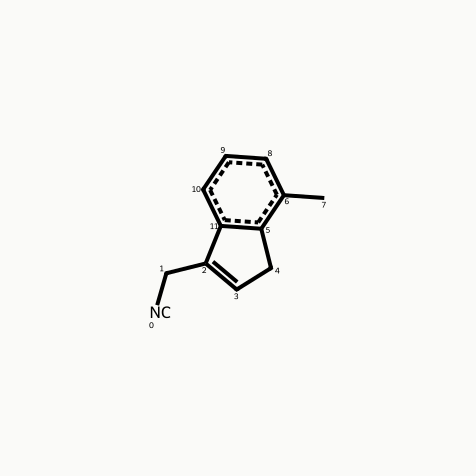 [C-]#[N+]CC1=CCc2c(C)cccc21